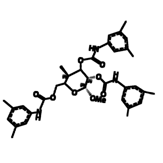 CO[C@@H]1OC(COC(=O)Nc2cc(C)cc(C)c2)[C@@H](C)C(OC(=O)Nc2cc(C)cc(C)c2)[C@@H]1OC(=O)Nc1cc(C)cc(C)c1